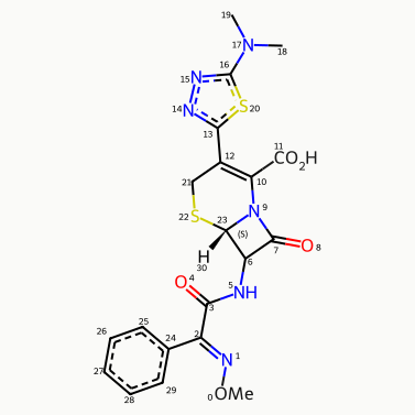 CON=C(C(=O)NC1C(=O)N2C(C(=O)O)=C(c3nnc(N(C)C)s3)CS[C@@H]12)c1ccccc1